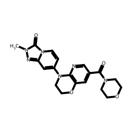 Cn1nc2cc(N3CCOc4cc(C(=O)N5CCOCC5)cnc43)ccn2c1=O